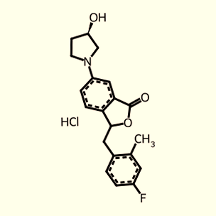 Cc1cc(F)ccc1CC1OC(=O)c2cc(N3CC[C@@H](O)C3)ccc21.Cl